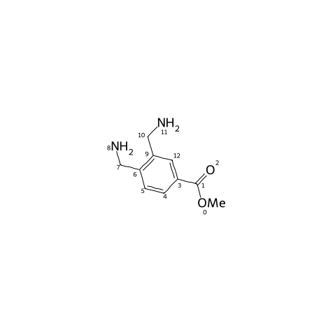 COC(=O)c1ccc(CN)c(CN)c1